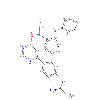 NC(Cc1ccc(-c2cc(OC(c3ccccc3Oc3cccnc3)C(F)(F)F)ncn2)cc1)C(=O)O